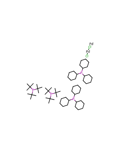 C1CCC(P(C2CCCCC2)C2CCCCC2)CC1.C1CCC(P(C2CCCCC2)C2CCCCC2)CC1.CC(C)(C)P(C(C)(C)C)C(C)(C)C.CC(C)(C)P(C(C)(C)C)C(C)(C)C.[Cl][Pd][Cl].[Pd]